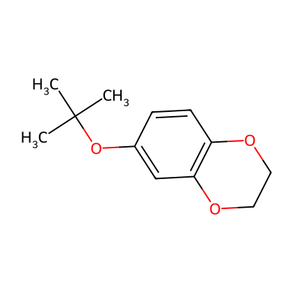 CC(C)(C)Oc1ccc2c(c1)OCCO2